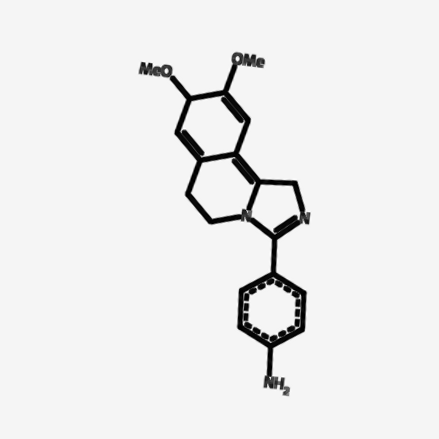 COC1=CC2=C3CN=C(c4ccc(N)cc4)N3CCC2=CC1OC